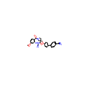 COc1ccc(C(=O)N2CCC(COc3ccc(-c4ccc(C#N)cc4)cc3)(C(=O)NC#N)C2)cc1